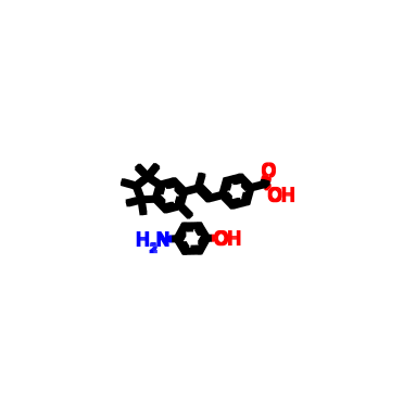 CC(=Cc1ccc(C(=O)O)cc1)c1cc2c(cc1C)C(C)(C)C(C)C2(C)C.Nc1ccc(O)cc1